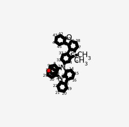 C[Si]1(C)c2cc(N(c3ccccc3)c3cccc4c5ccccc5n(-c5ccccc5)c34)ccc2-c2c1ccc1oc3ccccc3c21